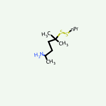 CCCSSC(C)(C)CCC(C)N